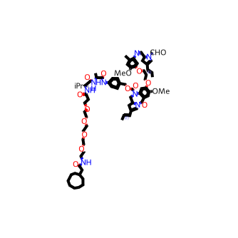 C/C=C/C1=CN(C=O)C(/C=N\c2cc(OCCCOc3cc4c(cc3OC)C(=O)N3C=C(/C=C/C)CC3CN4C(=O)OCc3ccc(NC(=O)C(C)NC(=O)[C@@H](NC(=O)CCOCCOCCOCCOCCNC(=O)CC4CCCCCCCC4)C(C)C)cc3)c(OC)cc2C)C1